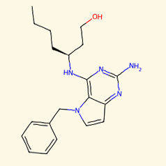 CCCC[C@@H](CCO)Nc1nc(N)nc2ccn(Cc3ccccc3)c12